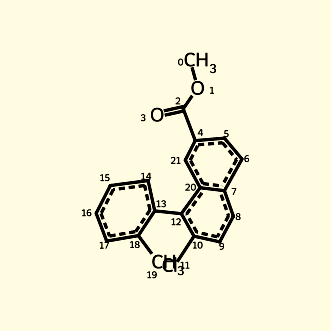 COC(=O)c1ccc2ccc(Cl)c(-c3ccccc3C)c2c1